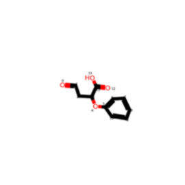 O=CCC(Oc1ccccc1)C(=O)O